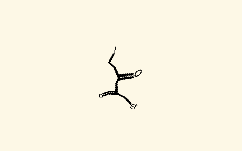 CCC(=O)C(=O)CI